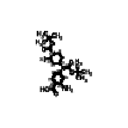 CC(C)(C)OC(=O)N1CCC(N(C(=O)OC(C)(C)C)c2ccc(C(=O)O)c(N)c2)CC1I